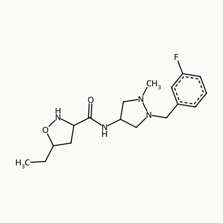 CCC1CC(C(=O)NC2CN(C)N(Cc3cccc(F)c3)C2)NO1